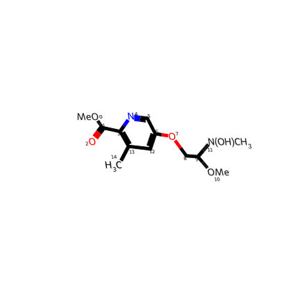 COC(=O)c1ncc(OCC(OC)N(C)O)cc1C